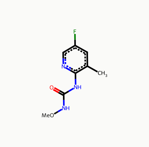 CONC(=O)Nc1ncc(F)cc1C